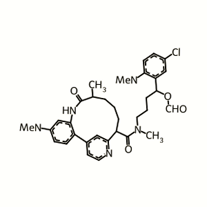 CNc1ccc2c(c1)NC(=O)C(C)CCCC(C(=O)N(C)CCCC(OC=O)c1cc(Cl)ccc1NC)c1cc-2ccn1